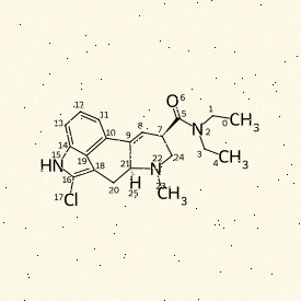 CCN(CC)C(=O)[C@@H]1C=C2c3cccc4[nH]c(Cl)c(c34)C[C@@H]2N(C)C1